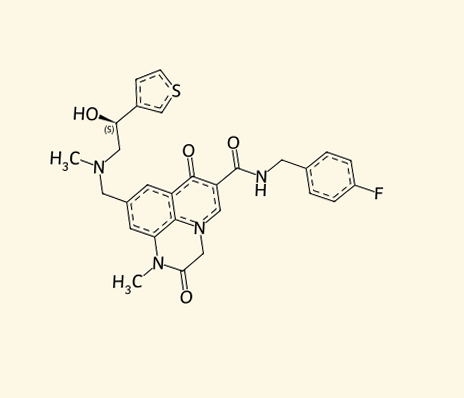 CN(Cc1cc2c3c(c1)c(=O)c(C(=O)NCc1ccc(F)cc1)cn3CC(=O)N2C)C[C@@H](O)c1ccsc1